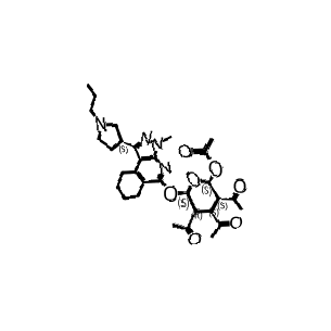 CCCN1CC[C@H](c2nn(C)c3nc(O[C@H]4O[C@@H](OC(C)=O)[C@@H](C(C)=O)[C@@H](C(C)=O)[C@H]4C(C)=O)c4c(c23)CCCC4)C1